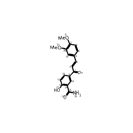 COc1ccc(C=CC(=O)c2ccc(O)c(C(N)=O)c2)cc1OC